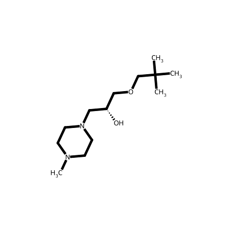 CN1CCN(C[C@@H](O)COCC(C)(C)C)CC1